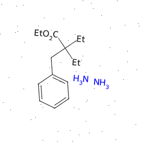 CCOC(=O)C(CC)(CC)Cc1ccccc1.N.N